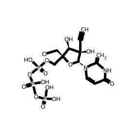 C#C[C@@]1(O)[C@H](O)[C@@](CCl)(COP(=O)(O)OP(=O)(O)OP(=O)(O)O)O[C@H]1N1C=CC(=O)NC1=C